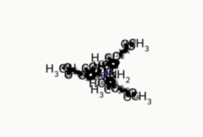 C=C(/N=C(\N=C(/N)c1ccc(OCCCC(=O)OC)c(C)c1O)c1ccc(OCCCC(=O)OC)c(C)c1O)c1ccc(OCCCC(=O)OC)c(C)c1O